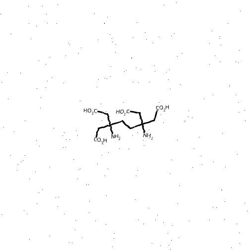 NC(CCC(N)(CC(=O)O)CC(=O)O)(CC(=O)O)CC(=O)O